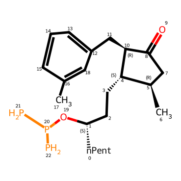 CCCCC[C@@H](CC[C@H]1[C@H](C)CC(=O)[C@@H]1Cc1cccc(C)c1)OP(P)P